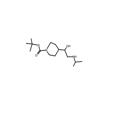 CC(C)NCC(O)C1CCN(C(=O)OC(C)(C)C)CC1